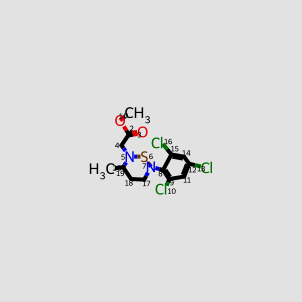 COC(=O)CN1SN(c2c(Cl)cc(Cl)cc2Cl)CCC1C